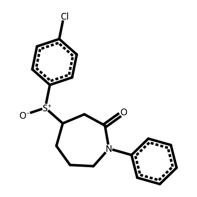 O=C1CC([S+]([O-])c2ccc(Cl)cc2)CCCN1c1ccccc1